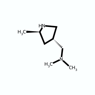 C[C@@H]1C[C@@H](CN(C)C)CN1